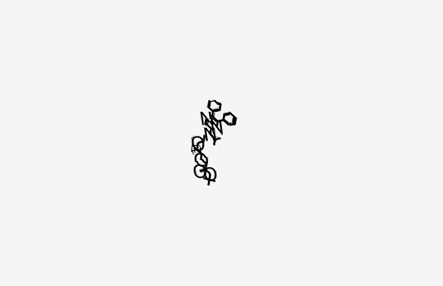 CC(C)N(CCO[C@H](C)COCC(=O)OC(C)(C)C)c1cnc(-c2ccccc2)c(-c2ccccc2)n1